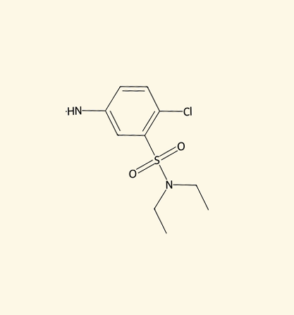 CCN(CC)S(=O)(=O)c1cc([NH])ccc1Cl